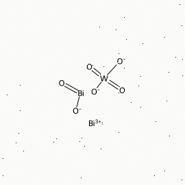 [Bi+3].[O]=[Bi][O-].[O]=[W](=[O])([O-])[O-]